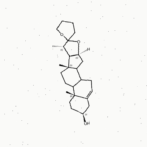 C[C@H]1C2[C@H](CC3C4CC=C5C[C@@H](O)CC[C@]5(C)C4CC[C@@]32C)OC12CCCCO2